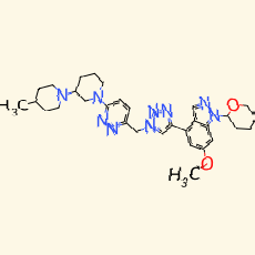 COc1cc(-c2cn(Cc3ccc(N4CCCC(N5CCC(C)CC5)C4)nn3)nn2)c2cnn(C3CCCCO3)c2c1